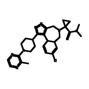 Cc1nccnc1N1CCC(c2nnc3n2C2C=CC(Cl)=CC2CN(C2(C(=O)N(C)C)CC2)C3)CC1